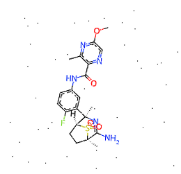 COc1cnc(C(=O)Nc2ccc(F)c([C@@]3(C)N=C(N)[C@@]4(C)CC[C@@H]3S4(=O)=O)c2)c(C)n1